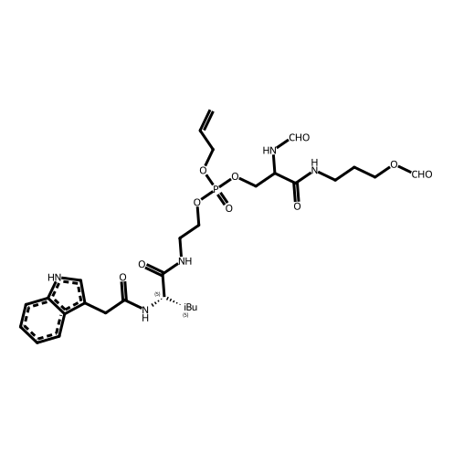 C=CCOP(=O)(OCCNC(=O)[C@@H](NC(=O)Cc1c[nH]c2ccccc12)[C@@H](C)CC)OCC(NC=O)C(=O)NCCCOC=O